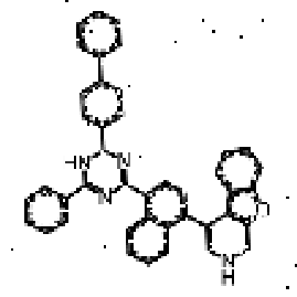 C1=C(c2ccc(C3=NC(c4ccc(-c5ccccc5)cc4)NC(c4ccccc4)=N3)c3ccccc23)c2c(oc3ccccc23)CN1